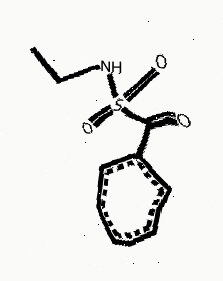 CCNS(=O)(=O)C(=O)c1ccccc1